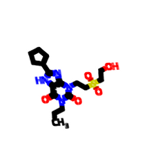 CCCn1c(=O)c2[nH]c(C3CCCC3)nc2n(CCS(=O)(=O)CCO)c1=O